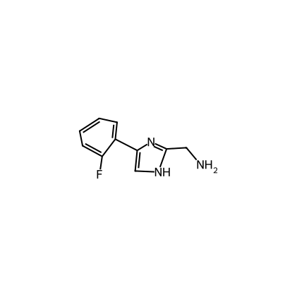 NCc1nc(-c2ccccc2F)c[nH]1